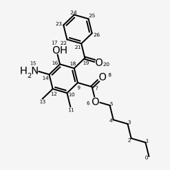 CCCCCCOC(=O)c1c(C)c(C)c(N)c(O)c1C(=O)c1ccccc1